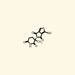 CC1(N2C(=O)c3csc(N=O)c3C2=O)CCC(=O)NC1=O